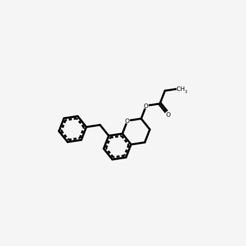 CCC(=O)OC1CCc2cccc(Cc3ccccc3)c2O1